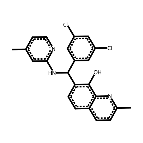 Cc1ccnc(NC(c2cc(Cl)cc(Cl)c2)c2ccc3ccc(C)nc3c2O)c1